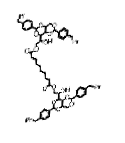 CC(C)Cc1ccc(C2OC3COC(c4ccc(CC(C)C)cc4)OC3C(C(O)COC(=O)CCCCCCCCC(=O)OCC(O)C3OC(c4ccc(CC(C)C)cc4)OC4COC(c5ccc(CC(C)C)cc5)OC43)O2)cc1